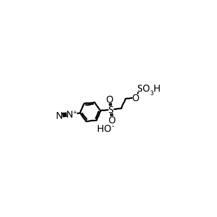 N#[N+]c1ccc(S(=O)(=O)CCOS(=O)(=O)O)cc1.[OH-]